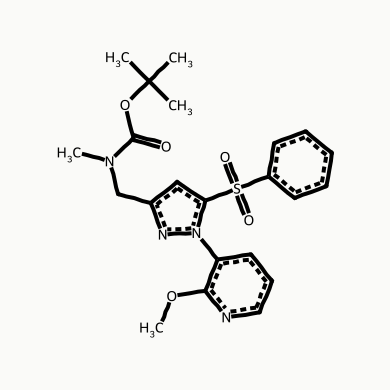 COc1ncccc1-n1nc(CN(C)C(=O)OC(C)(C)C)cc1S(=O)(=O)c1ccccc1